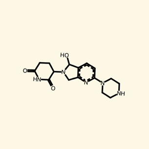 O=C1CCC(N2Cc3nc(N4CCNCC4)ccc3C2O)C(=O)N1